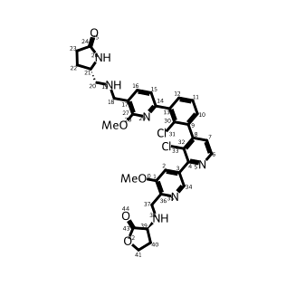 COc1cc(-c2nccc(-c3cccc(-c4ccc(CNC[C@@H]5CCC(=O)N5)c(OC)n4)c3Cl)c2Cl)cnc1CN[C@H]1CCOC1=O